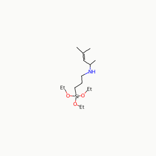 CCO[Si](CCCNC(C)C=C(C)C)(OCC)OCC